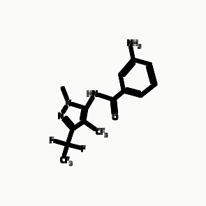 Cn1nc(C(F)(F)C(F)(F)F)c(C(F)(F)F)c1NC(=O)c1cccc(N)c1